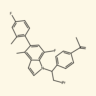 C=C(C)c1ccc(C(CC(C)C)n2ccc3c(C)c(-c4ccc(F)cc4C)cc(F)c32)cc1